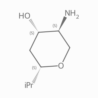 CC(C)[C@@H]1C[C@H](O)[C@@H](N)CO1